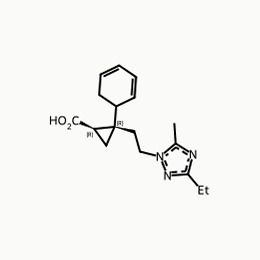 CCc1nc(C)n(CC[C@@]2(C3C=CC=CC3)C[C@H]2C(=O)O)n1